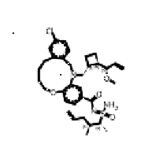 C=CC[C@H](C)[C@@H](C)S(N)(=O)=NC(=O)c1ccc2c(c1)N(C[C@@H]1CC[C@H]1[C@H](C=C)OC)Cc1ccc(Cl)cc1CCCCO2